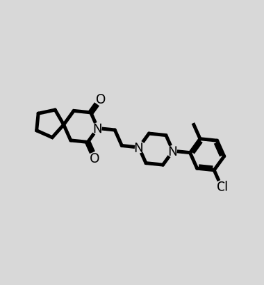 Cc1ccc(Cl)cc1N1CCN(CCN2C(=O)CC3(CCCC3)CC2=O)CC1